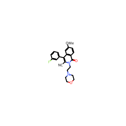 COc1ccc2c(=O)n(CCN3CCOCC3)c(C#N)c(-c3cccc(F)c3)c2c1